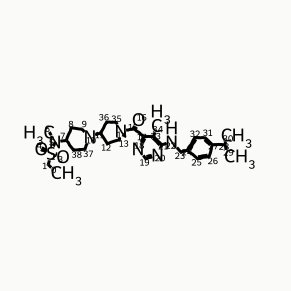 CCS(=O)(=O)N(C)C1CCN(C2CCN(C(=O)c3ncnc(NCc4ccc(C(C)C)cc4)c3C)CC2)CC1